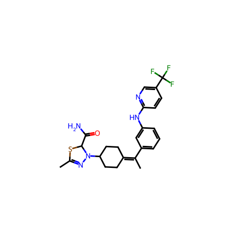 CC1=NN(C2CCC(=C(C)c3cccc(Nc4ccc(C(F)(F)F)cn4)c3)CC2)C(C(N)=O)S1